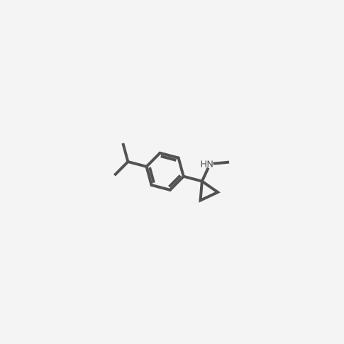 CNC1(c2ccc(C(C)C)cc2)CC1